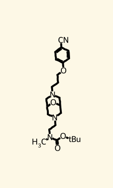 CN(CCN1CC2CN(CCCOc3ccc(C#N)cc3)CC(C1)O2)C(=O)OC(C)(C)C